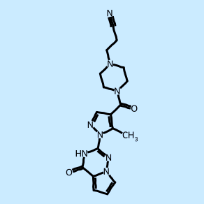 Cc1c(C(=O)N2CCN(CCC#N)CC2)cnn1-c1nn2cccc2c(=O)[nH]1